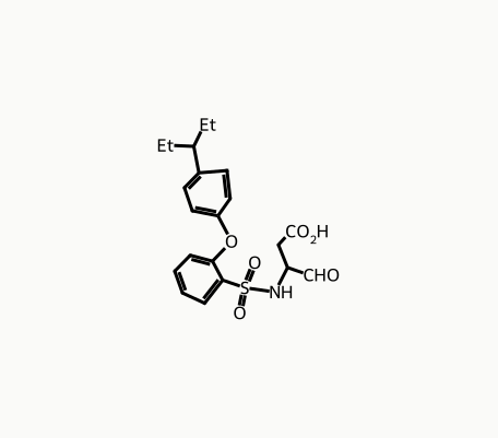 CCC(CC)c1ccc(Oc2ccccc2S(=O)(=O)NC(C=O)CC(=O)O)cc1